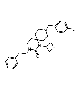 O=C1N(CCc2ccccc2)CCC2(CCN(Cc3ccc(Cl)cc3)CC2)N1C1CCC1